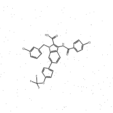 O=C(Nc1c(C(=O)O)n(Cc2cccc(Cl)c2)c2cc(-c3ccc(OC(F)(F)F)cc3)ccc12)c1ccc(Cl)cc1